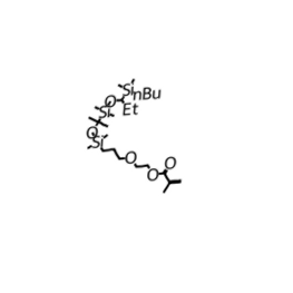 C=C(C)C(=O)OCCOCCC[Si](C)(C)OC(C)(C)[Si](C)(C)OC(CC)[Si](C)(C)CCCC